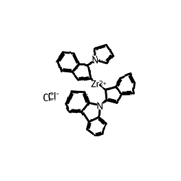 C1=[C]([Zr+2][CH]2C(n3c4ccccc4c4ccccc43)=Cc3ccccc32)C(n2cccc2)c2ccccc21.[Cl-].[Cl-]